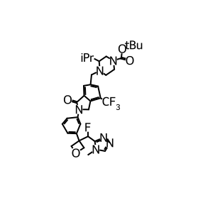 CC(C)C1CN(C(=O)OC(C)(C)C)CCN1Cc1cc2c(c(C(F)(F)F)c1)CN(c1cccc(C3(C(F)c4nncn4C)COC3)c1)C2=O